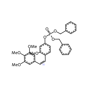 COc1cc(OP(=O)(OCc2ccccc2)OCc2ccccc2)ccc1/C=C\c1cc(OC)c(OC)c(OC)c1